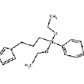 CCO[Si](CCCn1ccnc1)(OCC)c1ccccc1